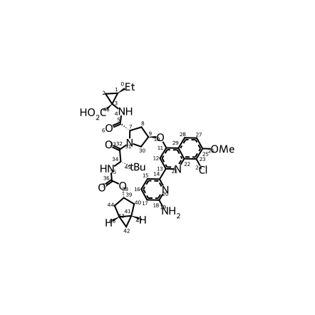 CC[C@@H]1C[C@]1(NC(=O)[C@@H]1C[C@@H](Oc2cc(-c3cccc(N)n3)nc3c(Cl)c(OC)ccc23)CN1C(=O)[C@@H](NC(=O)O[C@@H]1C[C@@H]2C[C@@H]2C1)C(C)(C)C)C(=O)O